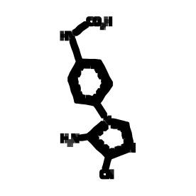 N#Cc1ncn(-c2ccc(NC(=O)O)cc2)c1N